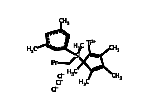 CC1=C(C)C(C)([Si](C)(CC(C)C)c2cc(C)cc(C)c2)[C]([Ti+3])=C1C.[Cl-].[Cl-].[Cl-]